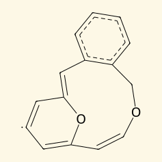 [C]1=C/C2=C\c3ccccc3CO/C=C\C(=C1)O2